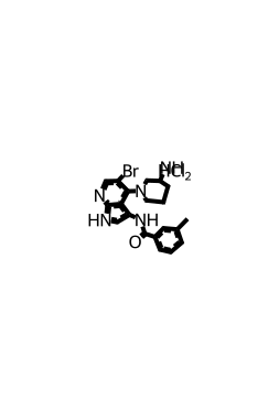 Cc1cccc(C(=O)Nc2c[nH]c3ncc(Br)c(N4CCCC(N)C4)c23)c1.Cl